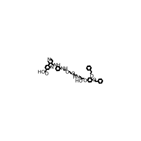 O=C(O)c1ccc2c(c1)nc(Nc1cccc(NCCOCCOCCNC[C@@H](O)COc3ccc(OCc4ccccc4)c(OCCc4ccccc4)c3)c1)c1ccncc12